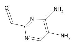 Nc1cnc(C=O)nc1N